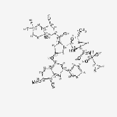 C=C[C@@H]1C[C@]1(NC(=O)[C@@H]1C[C@@H](Oc2cc(-c3ccccn3)nc3c(Cl)c(OC)ccc23)CN1C(=O)C(CC(=O)N1CCCC(F)(F)C1)C(C)(C)C)C(=O)NS(=O)(=O)C1CC1